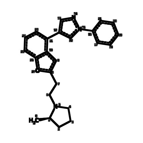 C[C@@H]1CCCN1CCc1cc2c(-c3cnn(-c4ccccc4)c3)cccc2o1